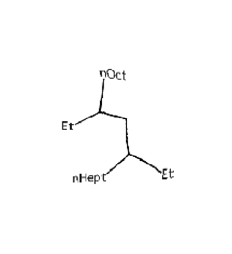 CCCCCCCCC(CC)CC(CC)CCCCCCC